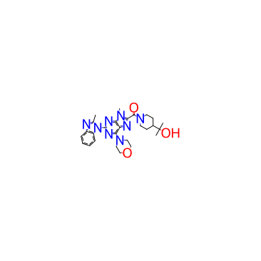 Cc1nc2ccccc2n1-c1nc(N2CCOCC2)c2nc(C(=O)N3CCC(C(C)(C)O)CC3)n(C)c2n1